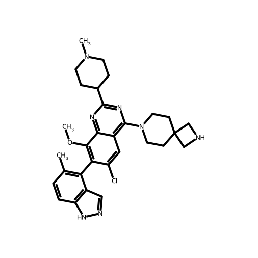 COc1c(-c2c(C)ccc3[nH]ncc23)c(Cl)cc2c(N3CCC4(CC3)CNC4)nc(C3CCN(C)CC3)nc12